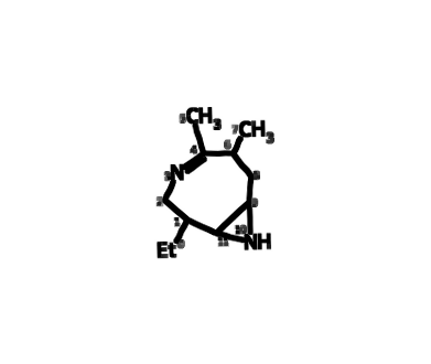 CCC1C/N=C(/C)C(C)CC2NC12